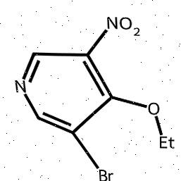 CCOc1c(Br)cncc1[N+](=O)[O-]